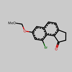 COCOc1cc(Br)c2c3c(ccc2c1)CCC3=O